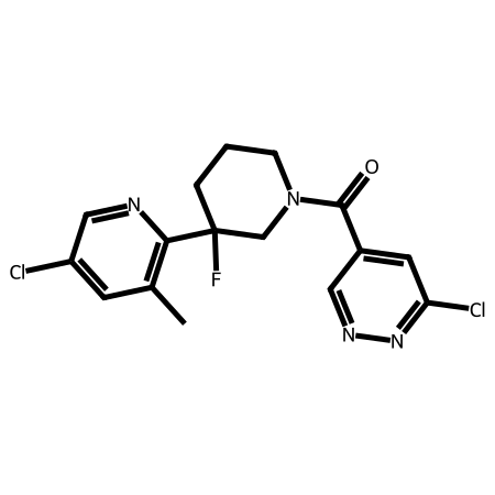 Cc1cc(Cl)cnc1C1(F)CCCN(C(=O)c2cnnc(Cl)c2)C1